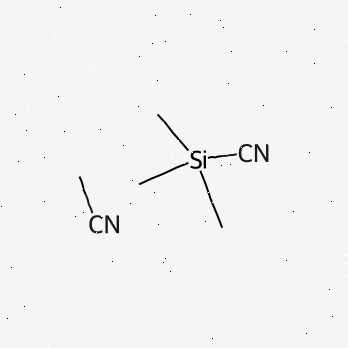 CC#N.C[Si](C)(C)C#N